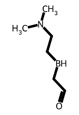 CN(C)CCBCC=O